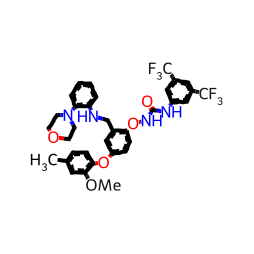 COc1cc(C)ccc1Oc1ccc(ONC(=O)Nc2cc(C(F)(F)F)cc(C(F)(F)F)c2)c(CNc2ccccc2N2CCOCC2)c1